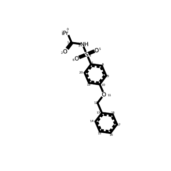 CC(C)C(=O)NS(=O)(=O)c1ccc(OCc2ccccc2)cc1